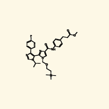 COC(=O)CCc1ccc(NC(=O)c2cn(COCC[Si](C)(C)C)c(-c3c(-c4ccc(F)cc4)ncn3C(C)C)n2)cc1